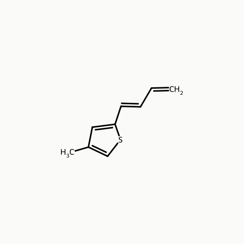 C=CC=Cc1cc(C)cs1